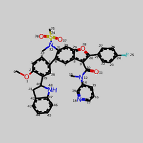 COc1ccc(-c2cc3c(C(=O)N(C)c4cccnc4)c(-c4ccc(F)cc4)oc3cc2N(C)S(C)(=O)=O)cc1C1Cc2ccccc2N1